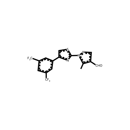 Cc1c(C=O)cnn1-c1nc(-c2cc(C(F)(F)F)cc(C(F)(F)F)c2)cs1